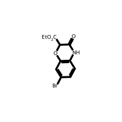 CCOC(=O)C1Oc2cc(Br)ccc2NC1=O